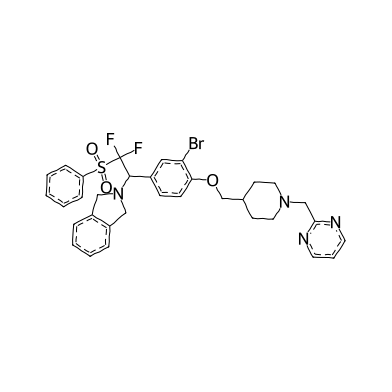 O=S(=O)(c1ccccc1)C(F)(F)C(c1ccc(OCC2CCN(Cc3ncccn3)CC2)c(Br)c1)N1Cc2ccccc2C1